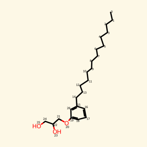 CCCCCCCCCCCCCCCc1cccc(OCC(O)CO)c1